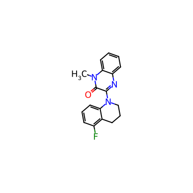 Cn1c(=O)c(N2CCCc3c(F)cccc32)nc2ccccc21